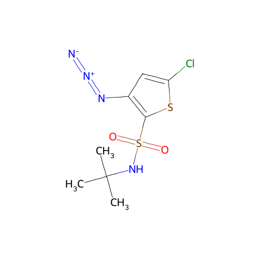 CC(C)(C)NS(=O)(=O)c1sc(Cl)cc1N=[N+]=[N-]